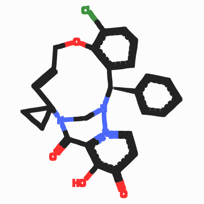 O=C1c2c(O)c(=O)ccn2N2CN1C1(/C=C/COc3c(Cl)cccc3[C@@H]2c2ccccc2)CC1